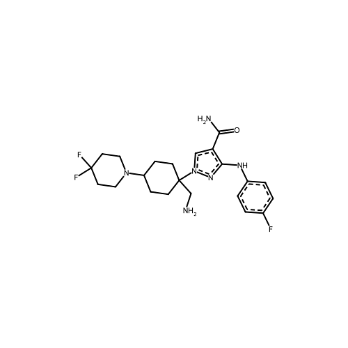 NCC1(n2cc(C(N)=O)c(Nc3ccc(F)cc3)n2)CCC(N2CCC(F)(F)CC2)CC1